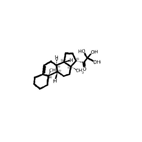 C[C@]12CC[C@H]3[C@@H](CC=C4CCCC[C@@]43C)[C@@H]1CC[C@@H]2C(=O)C(O)(O)O